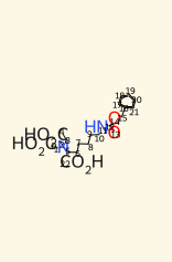 O=C(O)CN(CC(=O)O)C(CCCCCNC(=O)OCc1ccccc1)C(=O)O